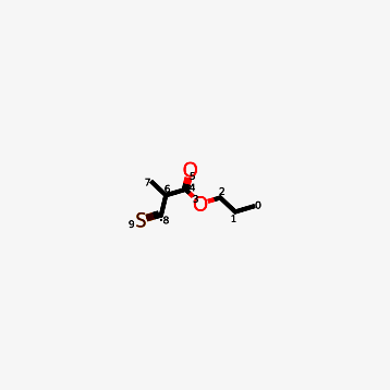 CCCOC(=O)C(C)[C]=S